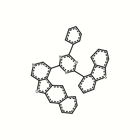 c1ccc(-c2nc(-c3cncc4oc5cc6ccccc6cc5c34)nc(-c3cccc4sc5ccccc5c34)n2)cc1